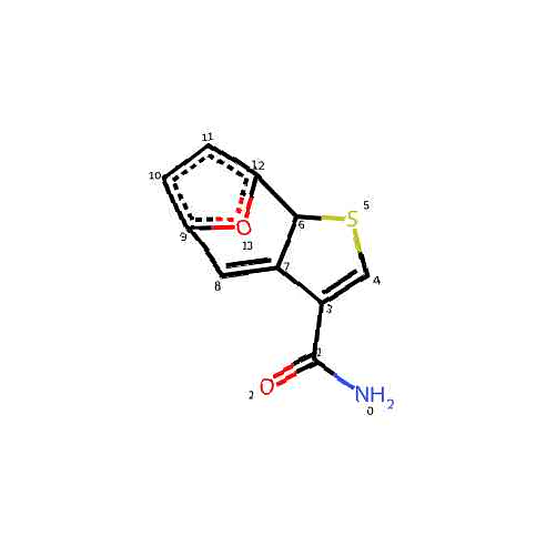 NC(=O)C1=CSC2C1=Cc1ccc2o1